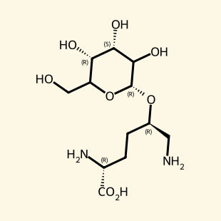 NC[C@@H](CC[C@@H](N)C(=O)O)O[C@@H]1OC(CO)[C@H](O)[C@H](O)C1O